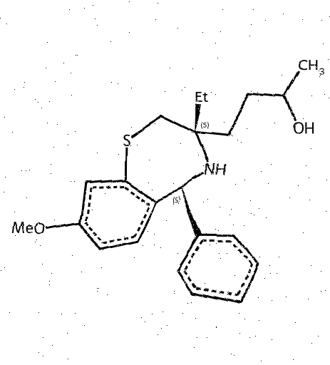 CC[C@]1(CCC(C)O)CSc2cc(OC)ccc2[C@H](c2ccccc2)N1